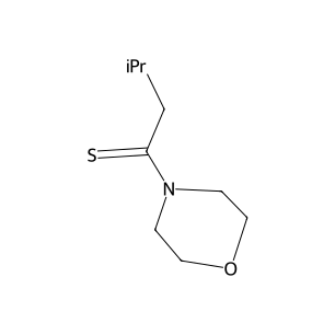 CC(C)CC(=S)N1CCOCC1